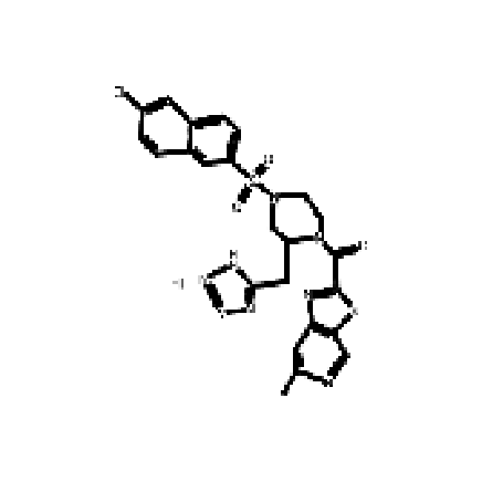 Cc1cc2nc(C(=O)N3CCN(S(=O)(=O)c4ccc5cc(Cl)ccc5c4)CC3Cc3nnn[nH]3)sc2cn1.I